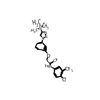 C[Si](C)(C)c1cn(-c2cccc(OCC(=O)Nc3ccc(Cl)c(C(F)(F)F)c3)c2)nn1